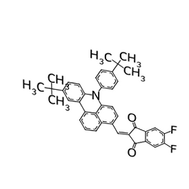 CC(C)(C)c1ccc(N2c3ccc(C(C)(C)C)cc3-c3cccc4c(C=C5C(=O)c6cc(F)c(F)cc6C5=O)ccc2c34)cc1